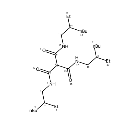 CCCCC(CC)CNC(=O)[C](C(=O)NCC(CC)CCCC)C(=O)NCC(CC)CCCC